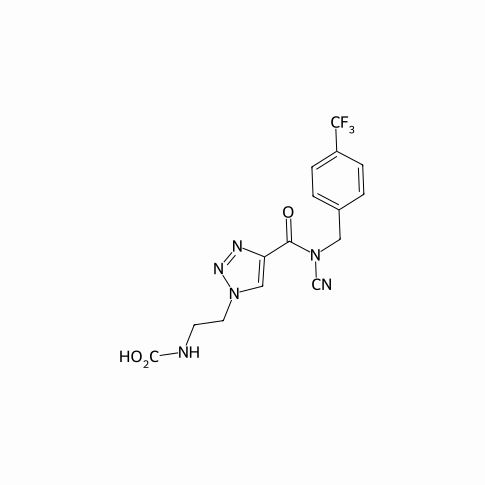 N#CN(Cc1ccc(C(F)(F)F)cc1)C(=O)c1cn(CCNC(=O)O)nn1